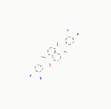 C#Cc1ccc(N2C(=O)c3ccc4c5c(ccc(c35)C2=O)C(=O)N(c2ccc(C#N)c(C#N)c2)C4=O)cc1C#N